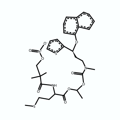 CSCCC(NC(=O)C(C)(C)CO[N+](=O)[O-])C(=O)OC(C)OC(=O)N(C)CC[C@H](Oc1cccc2ccccc12)c1cccs1